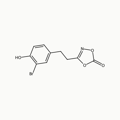 O=c1onc(CCc2ccc(O)c(Br)c2)o1